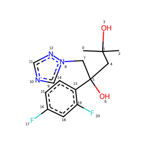 CC(C)(O)CC(O)(Cn1cncn1)c1ccc(F)cc1F